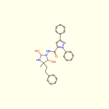 CC1(CCc2ccccc2)NC(O)N(NC(=O)c2cc(-c3ccccc3)nn2-c2ccccc2)C1O